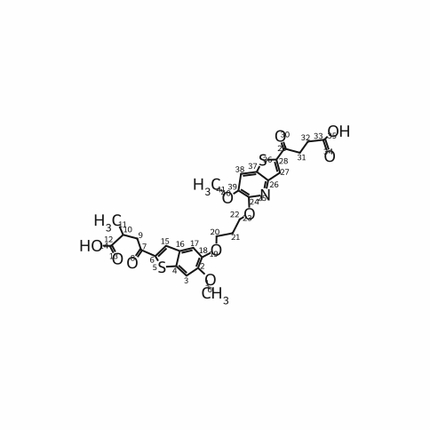 COc1cc2sc(C(=O)CC(C)C(=O)O)cc2cc1OCCCOc1nc2cc(C(=O)CCC(=O)O)sc2cc1OC